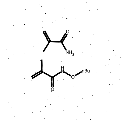 C=C(C)C(=O)NOCCCC.C=C(C)C(N)=O